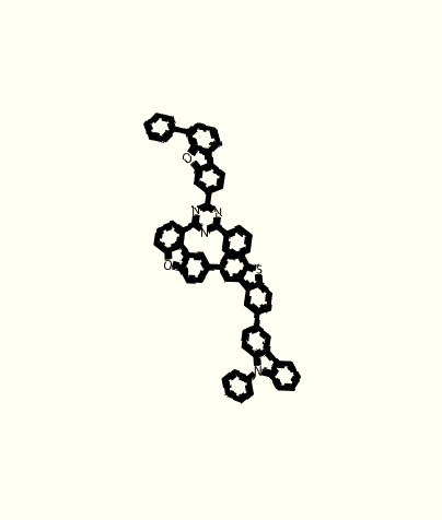 c1ccc(-c2nc(-c3ccc4c(c3)oc3c(-c5ccccc5)cccc34)nc(-c3cccc4oc5ccc(-c6ccc7sc8ccc(-c9ccc%10c(c9)c9ccccc9n%10-c9ccccc9)cc8c7c6)cc5c34)n2)cc1